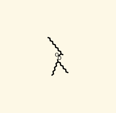 CCCCCCCCCCC(C)C(=O)OCC(CCCCCCC)CCCCCCC